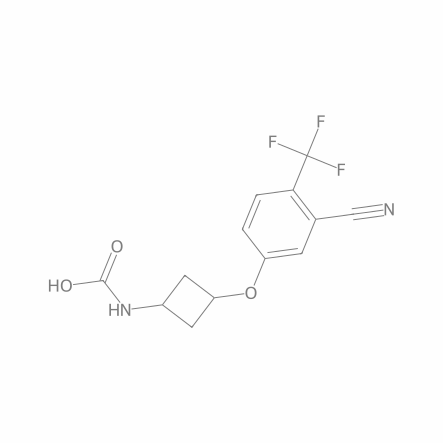 N#Cc1cc(OC2CC(NC(=O)O)C2)ccc1C(F)(F)F